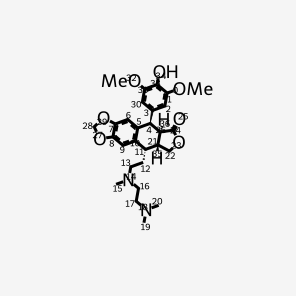 COc1cc([C@@H]2c3cc4c(cc3[C@@H](CCN(C)CCN(C)C)[C@H]3COC(=O)[C@H]23)OCO4)cc(OC)c1O